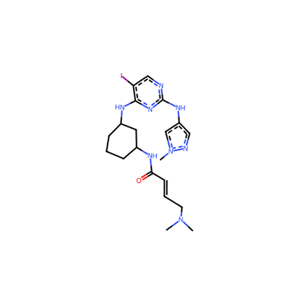 CN(C)C/C=C/C(=O)NC1CCCC(Nc2nc(Nc3cnn(C)c3)ncc2I)C1